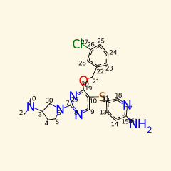 CN(C)C1CCN(c2ncc(Sc3ccc(N)nc3)c(OCc3cccc(Cl)c3)n2)C1